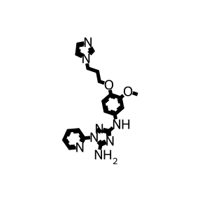 COc1cc(Nc2nc(N)n(-c3ccccn3)n2)ccc1OCCCn1ccnc1